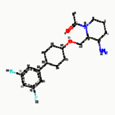 CC(=O)N1CCCC(N)C1COC1CCC(c2cc(F)cc(F)c2)CC1